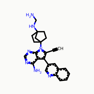 C#Cc1c(-c2cnc3ccccc3c2)c2c(N)ncnc2n1C12CCC(NCN)(CC1)C2